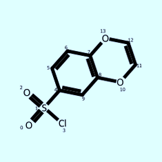 O=S(=O)(Cl)c1ccc2c(c1)OC=CO2